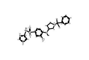 CN(c1ccc(S(=O)(=O)Nc2cscn2)cc1Cl)C1CCN(C(C)(C)c2ccccc2)C1